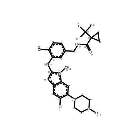 CN1CCN(c2cc3c(cc2Cl)nc(Nc2cc(CNC(=O)C4(C(F)(F)F)CC4)ccc2Cl)n3C)CC1